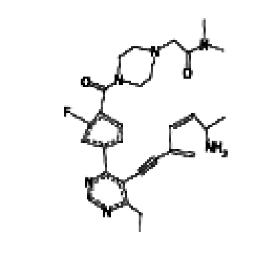 C=C(C#Cc1c(CC)ncnc1-c1ccc(C(=O)N2CCN(CC(=O)N(C)C)CC2)c(F)c1)/C=C\C(C)N